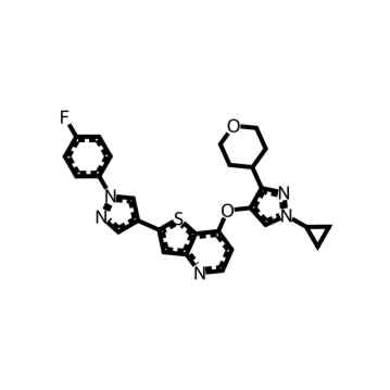 Fc1ccc(-n2cc(-c3cc4nccc(Oc5cn(C6CC6)nc5C5CCOCC5)c4s3)cn2)cc1